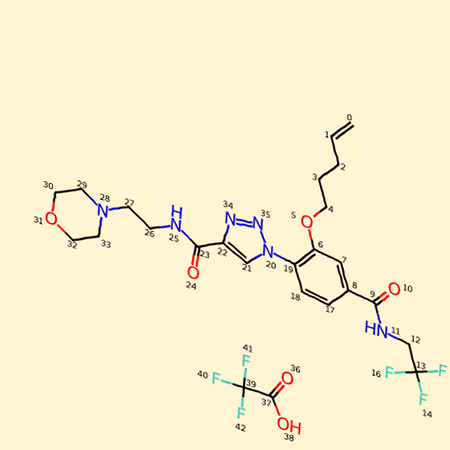 C=CCCCOc1cc(C(=O)NCC(F)(F)F)ccc1-n1cc(C(=O)NCCN2CCOCC2)nn1.O=C(O)C(F)(F)F